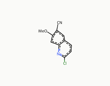 COc1cc2nc(Cl)ccc2cc1C#N